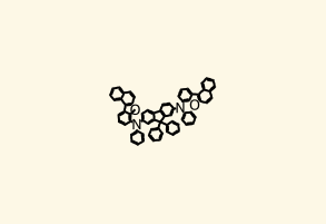 c1ccc(N(c2ccc3c(c2)C(c2ccccc2)(c2ccccc2)c2cc(N(c4ccccc4)c4cccc5c4oc4ccc6ccccc6c45)ccc2-3)c2cccc3c2oc2ccc4ccccc4c23)cc1